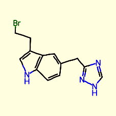 BrCCc1c[nH]c2ccc(Cc3nc[nH]n3)cc12